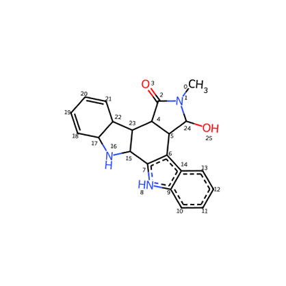 CN1C(=O)C2C(c3c([nH]c4ccccc34)C3NC4C=CC=CC4C32)C1O